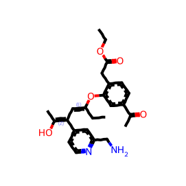 CCOC(=O)Cc1ccc(C(C)=O)cc1O/C(=C/C(=C(\C)O)c1ccnc(CN)c1)CC